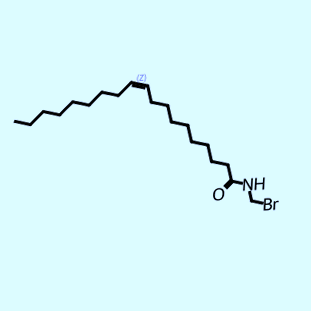 CCCCCCCC/C=C\CCCCCCCCC(=O)NCBr